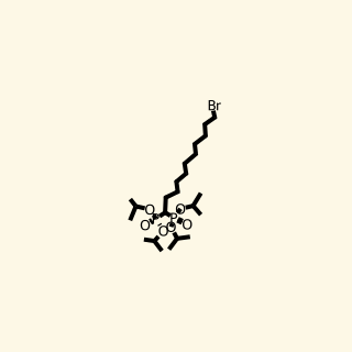 CC(C)OP(=O)(OC(C)C)C(CCCCCCCCCCBr)P(=O)(OC(C)C)OC(C)C